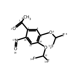 CC(=O)c1cc(OC(F)F)c(OC(F)F)cc1N=O